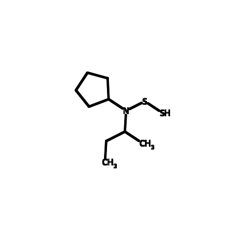 CCC(C)N(SS)C1CCCC1